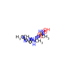 Cc1nc(NC(=O)O)sc1S(=O)(=O)N1CCN(CC(C)Nc2ncnc3c(-c4ccc(CN(C)C)nc4)cccc23)CC1